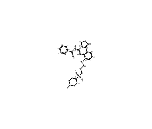 CC1CCN(S(=O)(=O)CCCOc2cccc3c2N=C(NC(=O)c2cccnc2)N2CCN=C32)CC1